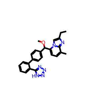 CCc1cn2c(C(OC)c3ccc(-c4ccccc4-c4nnn[nH]4)cc3)ccc(C)c2n1